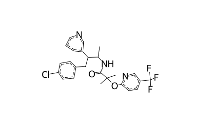 CC(NC(=O)C(C)(C)Oc1ccc(C(F)(F)F)cn1)C(Cc1ccc(Cl)cc1)c1cccnc1